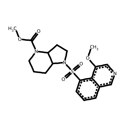 COC(=O)N1CCCC2C1CCN2S(=O)(=O)c1cccc2cncc(OC)c12